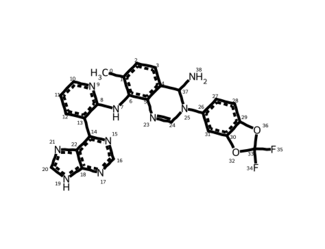 Cc1ccc2c(c1Nc1ncccc1-c1ncnc3[nH]cnc13)N=CN(c1ccc3c(c1)OC(F)(F)O3)C2N